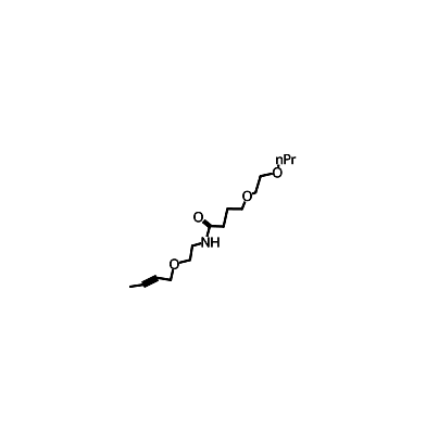 CC#CCOCCNC(=O)CCCOCCOCCC